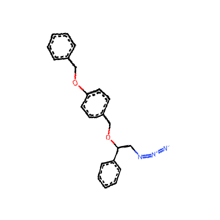 [N-]=[N+]=NCC(OCc1ccc(OCc2ccccc2)cc1)c1ccccc1